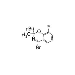 CCCCC1(C)N=C(Br)c2cccc(F)c2O1